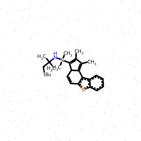 CC1=C2c3c(sc4ccccc34)C=CC2C([Si](C)(C)NC(C)(C)CC(C)(C)C)=C1C